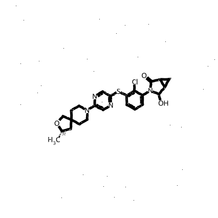 C[C@H]1CC2(CCN(c3cnc(Sc4cccc(N5C(=O)C6CC6C5O)c4Cl)cn3)CC2)CO1